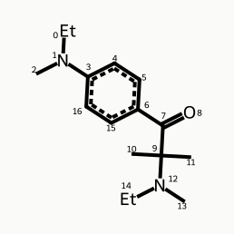 CCN(C)c1ccc(C(=O)C(C)(C)N(C)CC)cc1